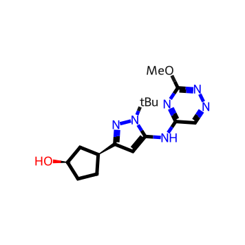 COc1nncc(Nc2cc([C@H]3CC[C@@H](O)C3)nn2C(C)(C)C)n1